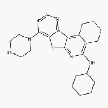 C1CCC(Nc2nc3sc4c(N5CCNCC5)nnnc4c3c3c2CCCC3)CC1